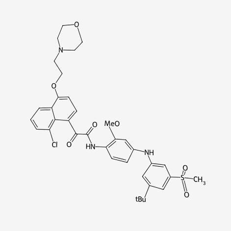 COc1cc(Nc2cc(C(C)(C)C)cc(S(C)(=O)=O)c2)ccc1NC(=O)C(=O)c1ccc(OCCN2CCOCC2)c2cccc(Cl)c12